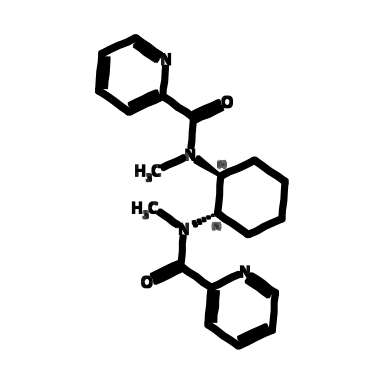 CN(C(=O)c1ccccn1)[C@H]1CCCC[C@@H]1N(C)C(=O)c1ccccn1